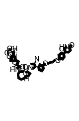 N#C[C@@H]1CN(C(=O)[C@@H]2CC[C@@H]3CCCC[C@H](NC(=O)c4cc5cc(C(F)(F)P(=O)(O)O)ccc5s4)C(=O)N32)C[C@H]1c1cccc(OCCCCOc2ccc(C3CCC(=O)NC3=O)cc2)c1